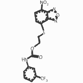 O=C(Nc1cccc(C(F)(F)F)c1)OCCSc1ccc([N+](=O)[O-])c2nonc12